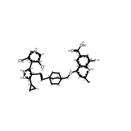 Cc1cc(OCC23CCC(C=Cc4c(-c5c(Cl)cncc5Cl)noc4C4CC4)(CC2)CC3)c2cc(C(=O)O)cc(F)c2n1